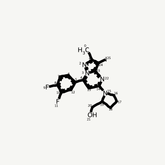 Cc1nn2c(-c3ccc(F)c(F)c3)cc(N3CCCC3CO)nc2c1I